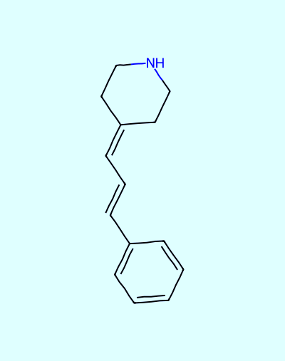 C(=Cc1ccccc1)C=C1CCNCC1